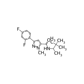 CC(NC(=O)c1cc(-c2ccc(F)cc2F)nn1C)C(C)(C)C